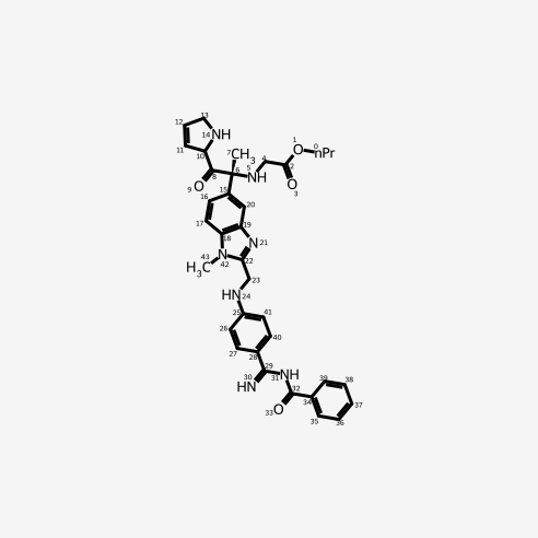 CCCOC(=O)CN[C@@](C)(C(=O)C1C=CCN1)c1ccc2c(c1)nc(CNc1ccc(C(=N)NC(=O)c3ccccc3)cc1)n2C